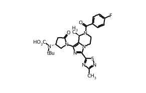 Cc1nsc(-c2nc(N3C[C@H](N(C(=O)O)C(C)(C)C)CC3=O)c3n2CCN(C(=O)c2ccc(F)cc2)[C@@H]3C)n1